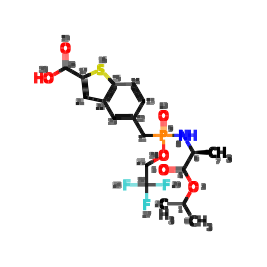 CC(C)OC(=O)[C@H](C)NP(=O)(Cc1ccc2sc(C(=O)O)cc2c1)OCC(F)(F)F